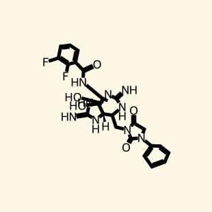 N=C1N[C@H]2C(CN3C(=O)CN(c4ccccc4)C3=O)NC(=N)N3CC(NC(=O)c4cccc(F)c4F)C(O)(O)[C@]23N1